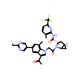 CC(=O)c1cn(CC(=O)N2C3C[C@]3(C)C[C@H]2C(=O)Nc2nc(C(F)(F)F)ccc2C)c2c(C)cc(-c3cnc(CF)nc3)cc12